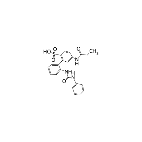 CCC(=O)Nc1ccc(S(=O)(=O)O)c(-c2ccccc2NC(=O)Nc2ccccc2)c1